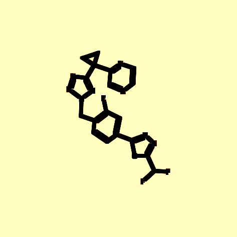 Fc1cc(-c2nnc(C(F)F)o2)ccc1Cn1nnc(C2(c3cnccn3)CC2)n1